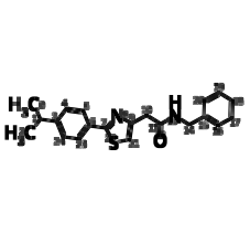 CC(C)c1ccc(-c2nc(CC(=O)NCc3ccccc3)cs2)cc1